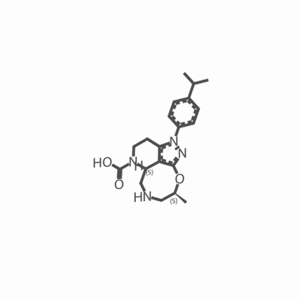 CC(C)c1ccc(-n2nc3c4c2CCN(C(=O)O)[C@@H]4CNC[C@H](C)O3)cc1